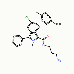 Cc1ccc(S(=O)(=O)O)cc1.Cn1c(C(=O)NCCCN)c2ccc(Cl)cc2c1-c1ccccc1